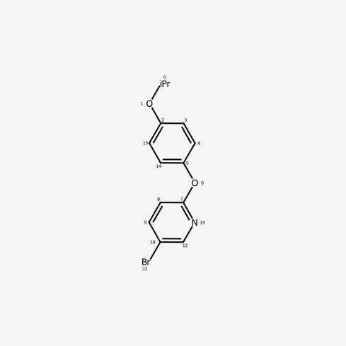 CC(C)Oc1ccc(Oc2ccc(Br)cn2)cc1